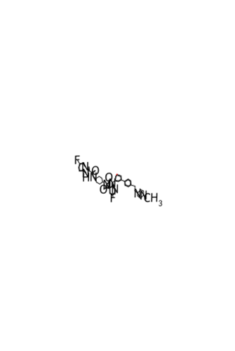 CN1CCN(CCc2ccc(-c3cccc(-n4c(=O)n(C5CCC(NC(=O)c6cn7cc(F)ccc7n6)CC5)c(=O)c5cc(F)cnc54)c3)cc2)CC1